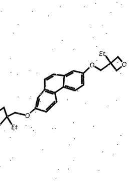 CCC1(COc2ccc3c(ccc4cc(OCC5(CC)COC5)ccc43)c2)COC1